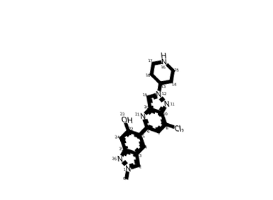 Cn1cc2cc(-c3cc(Cl)c4nn(C5CCNCC5)cc4n3)c(O)cc2n1